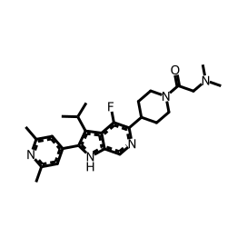 Cc1cc(-c2[nH]c3cnc(C4CCN(C(=O)CN(C)C)CC4)c(F)c3c2C(C)C)cc(C)n1